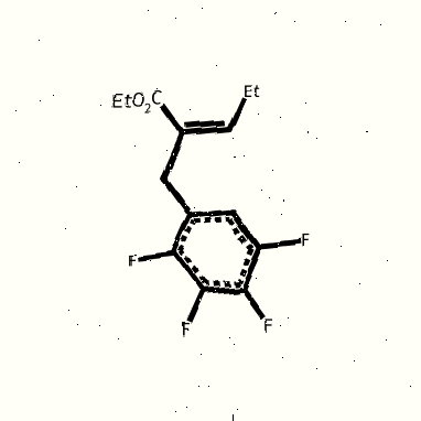 CCC=C(Cc1cc(F)c(F)c(F)c1F)C(=O)OCC